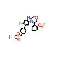 CS(=O)(=O)Cc1ccc(-c2cc3c(cc2F)nc2n3[C@H](c3ccccc3OC(F)F)COC2)cc1